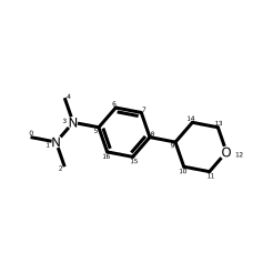 CN(C)N(C)c1ccc(C2CCOCC2)cc1